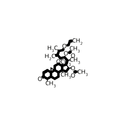 C=CCOC[C@H](C)C(=C)C(=O)[C@H](OC(C)=O)[C@@H](C)[C@H]1[C@@H](OC(C)=O)C[C@@]2(C)C3CCC4[C@H](C)C(=O)C=C[C@@]45C[C@@]35CC[C@]12C